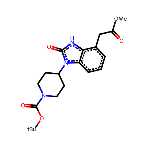 COC(=O)Cc1cccc2c1[nH]c(=O)n2C1CCN(C(=O)OC(C)(C)C)CC1